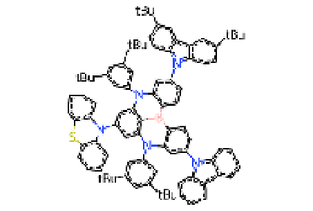 CC(C)(C)c1cc(N2c3cc(-n4c5ccccc5c5ccccc54)ccc3B3c4ccc(-n5c6ccc(C(C)(C)C)cc6c6cc(C(C)(C)C)ccc65)cc4N(c4cc(C(C)(C)C)cc(C(C)(C)C)c4)c4cc(N5c6ccccc6Sc6ccccc65)cc2c43)cc(C(C)(C)C)c1